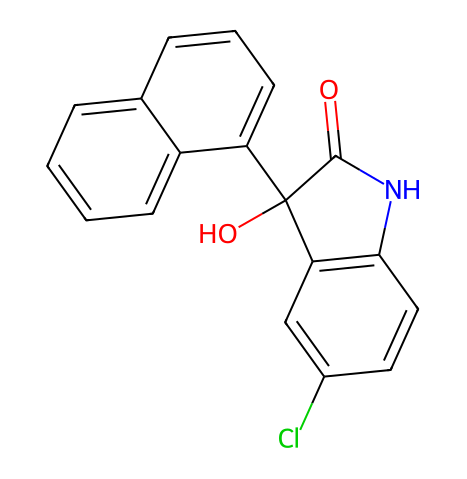 O=C1Nc2ccc(Cl)cc2C1(O)c1cccc2ccccc12